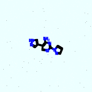 Nc1nc(-n2cccn2)ncc1-c1cn[nH]c1